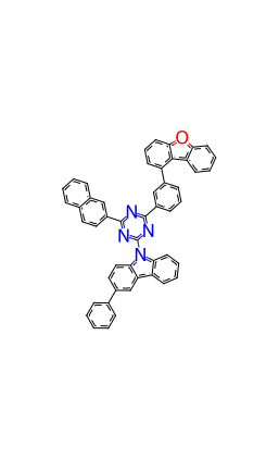 c1ccc(-c2ccc3c(c2)c2ccccc2n3-c2nc(-c3cccc(-c4cccc5oc6ccccc6c45)c3)nc(-c3ccc4ccccc4c3)n2)cc1